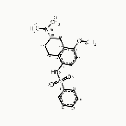 COc1ccc(NS(=O)(=O)c2ccccc2)c2c1C[C@@H](N(C)C)CC2